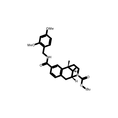 COc1ccc(CNC(=O)c2ccc3c(c2)[C@]2(C)CCN(C(=O)OC(C)(C)C)[C@H](C3)[C@@H]2C)c(OC)c1